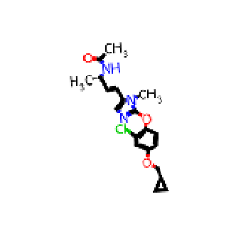 CC(=O)N[C@@H](C)/C=C/c1cnc(Oc2ccc(OCC3CC3)cc2Cl)n1C